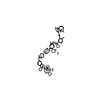 Cc1ccc(C(=O)Nc2ccc(N3CCN(C4CCN(Cc5ccc6c(c5)CN(N5CCC(=O)NC5=O)C6=O)CC4)CC3)c(C(F)(F)F)c2)cc1C#Cc1cnc2cccnn12